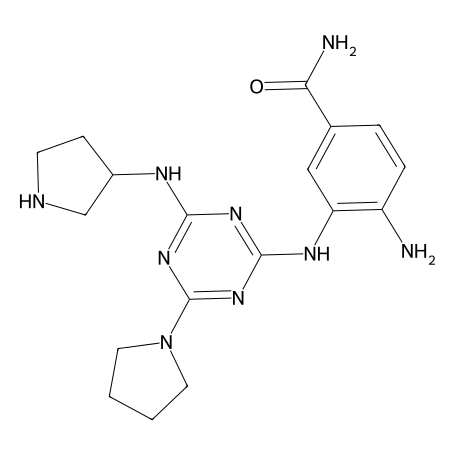 NC(=O)c1ccc(N)c(Nc2nc(NC3CCNC3)nc(N3CCCC3)n2)c1